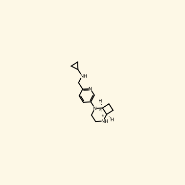 c1cc(CNC2CC2)ncc1N1CCN[C@@H]2CC[C@@H]21